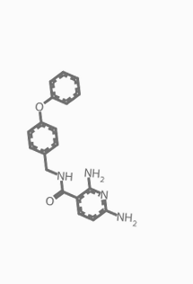 Nc1ccc(C(=O)NCc2ccc(Oc3ccccc3)cc2)c(N)n1